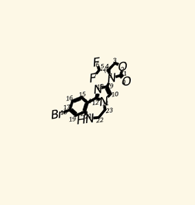 O=C1OC[C@@H](C(F)F)N1c1cn2c(n1)-c1ccc(Br)cc1NCC2